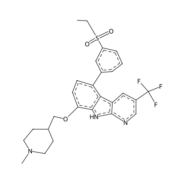 CCS(=O)(=O)c1cccc(-c2ccc(OCC3CCN(C)CC3)c3[nH]c4ncc(C(F)(F)F)cc4c23)c1